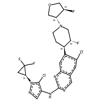 F[C@@H]1COC[C@H]1N1CC[C@H](c2cc3nc(Nc4cnn([C@H]5CC5(F)F)c4Cl)ncc3cc2Cl)[C@@H](F)C1